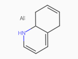 C1=CNC2CC=CCC2=C1.[Al]